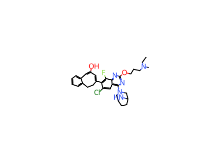 CCN(C)CCCOc1nc(N2CC3CCC(C2)N3)c2cc(Cl)c(/C3=C/C(O)=C\c4ccccc4CC3)c(F)c2n1